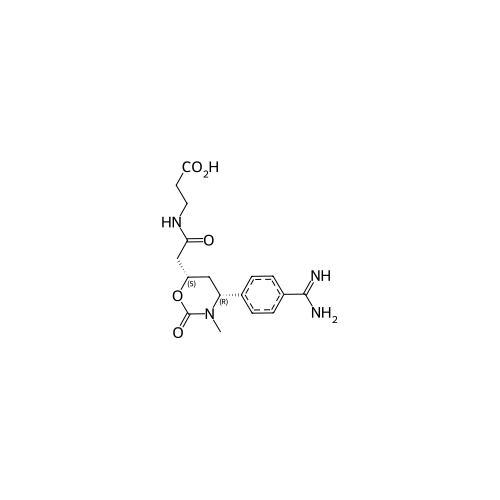 CN1C(=O)O[C@H](CC(=O)NCCC(=O)O)C[C@@H]1c1ccc(C(=N)N)cc1